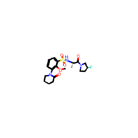 [CH2][C@H](NS(=O)(=O)c1cccc(N2CCCCC2=O)c1OC)C(=O)N1CC[C@H](F)C1